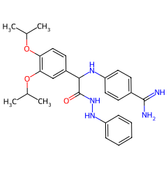 CC(C)Oc1ccc(C(Nc2ccc(C(=N)N)cc2)C(=O)NNc2ccccc2)cc1OC(C)C